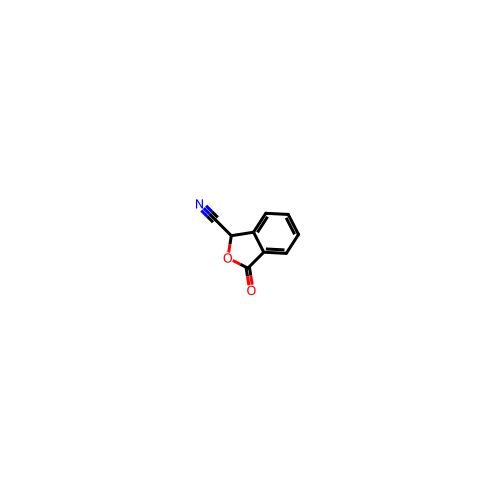 N#CC1OC(=O)c2ccccc21